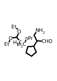 CCCC.CCOC(C)OCC.NCC(C=O)C1CCCC1